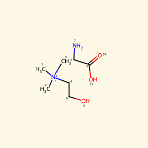 C[N+](C)(C)CCO.NCC(=O)O